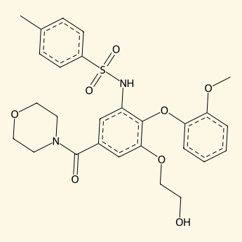 COc1ccccc1Oc1c(NS(=O)(=O)c2ccc(C)cc2)cc(C(=O)N2CCOCC2)cc1OCCO